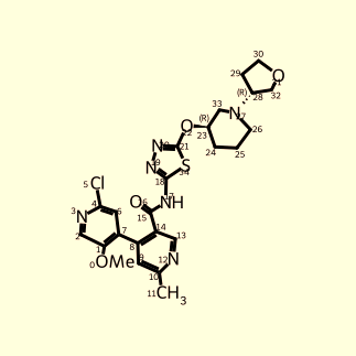 COc1cnc(Cl)cc1-c1cc(C)ncc1C(=O)Nc1nnc(O[C@@H]2CCCN([C@@H]3CCOC3)C2)s1